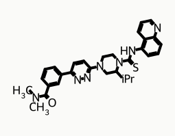 CC(C)C1CN(c2ccc(-c3cccc(C(=O)N(C)C)c3)nn2)CCN1C(=S)Nc1cccc2ncccc12